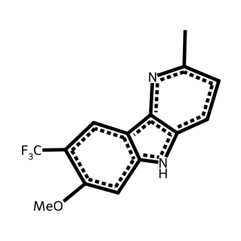 COc1cc2[nH]c3ccc(C)nc3c2cc1C(F)(F)F